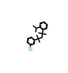 CC(C)c1ccccc1C(C)(C)CC(C)(C)c1cccc(Cl)c1